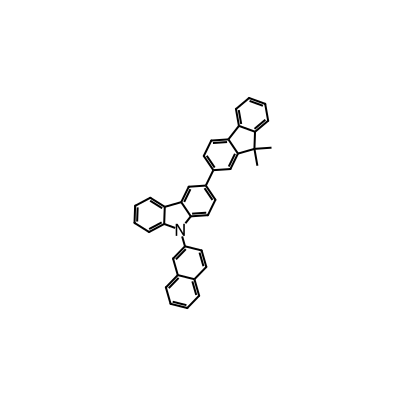 CC1(C)c2ccccc2-c2ccc(-c3ccc4c(c3)c3ccccc3n4-c3ccc4ccccc4c3)cc21